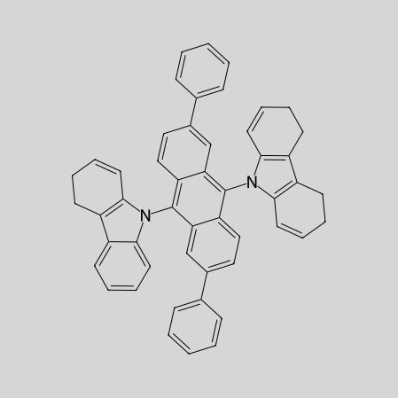 C1=Cc2c(c3c(n2-c2c4cc(-c5ccccc5)ccc4c(-n4c5c(c6ccccc64)CCC=C5)c4cc(-c5ccccc5)ccc24)C=CCC3)CC1